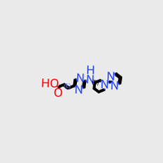 O=C(O)/C=C/c1cnc(N[C@@H]2CCCN(c3ncccn3)C2)cn1